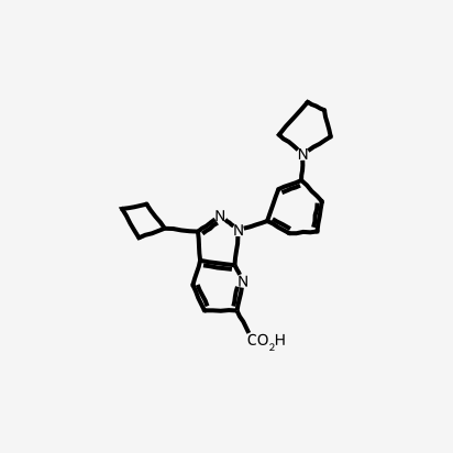 O=C(O)c1ccc2c(C3CCC3)nn(-c3cccc(N4CCCC4)c3)c2n1